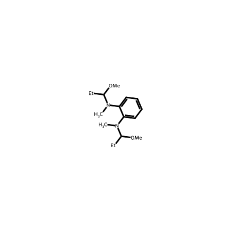 CCC(OC)N(C)c1ccccc1N(C)C(CC)OC